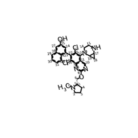 CN1CCC[C@H]1COc1ncc2c(N3CCNC4CC43)c(Cl)c(-c3cc(O)cc4cccc(Cl)c34)c(F)c2n1